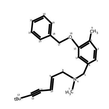 Cc1ccc(CN(C)C/C=C/C#CC(C)(C)C)cc1OCc1ccccc1